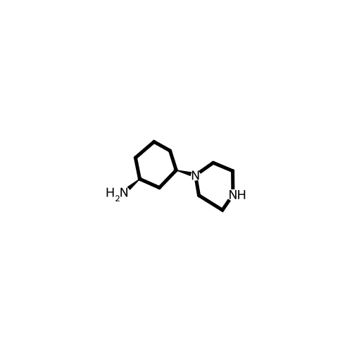 N[C@H]1CCC[C@@H](N2CCNCC2)C1